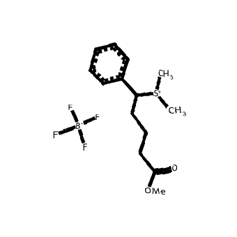 COC(=O)CCCC(c1ccccc1)[S+](C)C.F[B-](F)(F)F